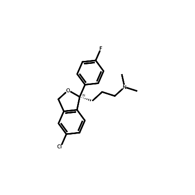 CN(C)CCC[C@@]1(c2ccc(F)cc2)OCc2cc(Cl)ccc21